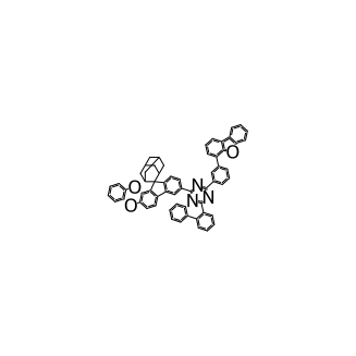 c1ccc(-c2ccccc2-c2nc(-c3cccc(-c4cccc5c4oc4ccccc45)c3)nc(-c3ccc4c(c3)-c3ccc5c(c3C43C4CC6CC(C4)CC3C6)Oc3ccccc3O5)n2)cc1